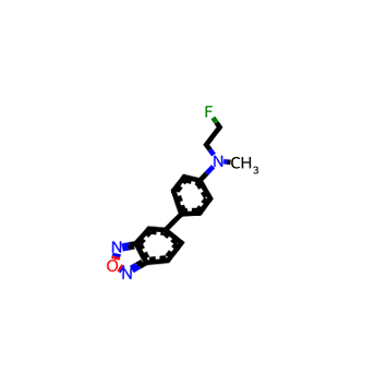 CN(CCF)c1ccc(-c2ccc3nonc3c2)cc1